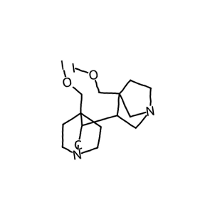 IOCC12CCN(CC1)CC2C1CN2CCC1(COI)C2